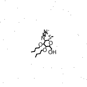 CCCCOC1C(N=[N+]=[N-])[C@H](SC)OC(CO)[C@H]1OCCCC